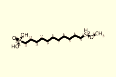 CO[SiH2]CCCCCCCCCCCP(=O)(O)O